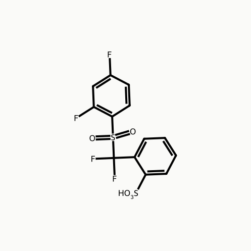 O=S(=O)(O)c1ccccc1C(F)(F)S(=O)(=O)c1ccc(F)cc1F